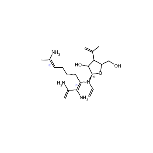 C=CN(/C(CCC/C=C(/C)N)=C(\N)C(=C)N)[C@@H]1OC(CO)C(C(=C)C)C1O